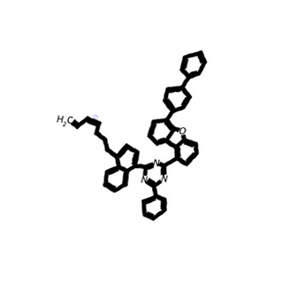 C=C/C=C\CCCc1ccc(-c2nc(-c3ccccc3)nc(-c3cccc4oc5c(-c6ccc(-c7ccccc7)cc6)cccc5c34)n2)c2ccccc12